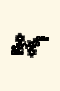 COC(=O)Cc1cc(CCc2cc(CC(=O)OC)nn2-c2ccccc2)n(-c2ccccc2)n1